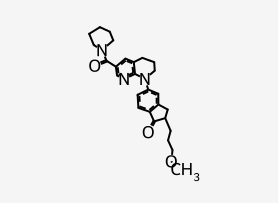 COCCCC1Cc2cc(N3CCCc4cc(C(=O)N5CCCCC5)cnc43)ccc2C1=O